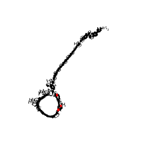 CO[C@H]1C[C@@H]2CC[C@@H](C)[C@@](O)(O2)C(=O)C(=O)N2CCCC[C@H]2C(=O)O[C@H]([C@H](N)C[C@@H]2CC[C@@H](OC(=S)NCCOCCOCCOCCOCCOCCOCCOCCOCCC(=O)NCCS(=O)(=O)c3ccc(C(=O)N4CCOc5ccc(-c6ccc(N)nc6)cc5C4)c(C)c3)[C@H](OC)C2)C[C@@H](O)[C@H](C)/C=C(\C)[C@@H](O)[C@@H](O)C(=O)[C@H](C)C[C@H](C)/C=C/C=C/C=C/1C